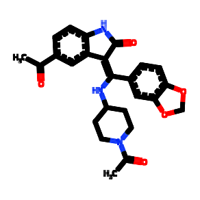 CC(=O)c1ccc2c(c1)C(=C(NC1CCN(C(C)=O)CC1)c1ccc3c(c1)OCO3)C(=O)N2